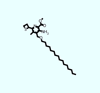 CCCCCCCCCCCCCCCCOCc1c(C)c(C2CCS2)nc(C(=O)OC)c1N